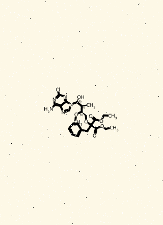 CCOC(=O)C(Cc1ccccc1)(OC[C@@H](OC)[C@H](C)[C@@H](O)n1cnc2c(N)nc(Cl)nc21)C(=O)OCC